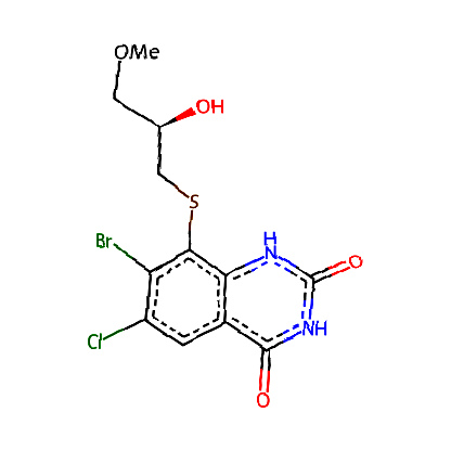 COC[C@@H](O)CSc1c(Br)c(Cl)cc2c(=O)[nH]c(=O)[nH]c12